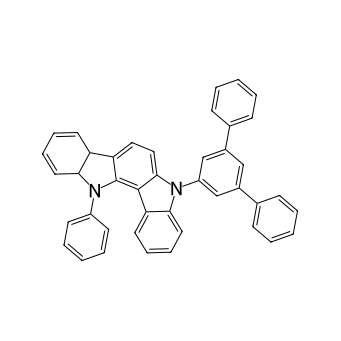 C1=CC2c3ccc4c(c3N(c3ccccc3)C2C=C1)c1ccccc1n4-c1cc(-c2ccccc2)cc(-c2ccccc2)c1